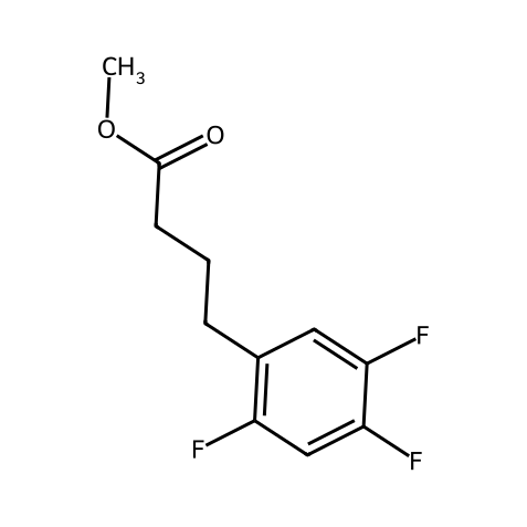 COC(=O)CCCc1cc(F)c(F)cc1F